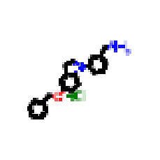 Cl.NCc1cccc(N2CCc3cc(OCc4ccccc4)ccc32)c1